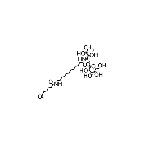 CC[C@@H](O)[C@@H](O)[C@H](CO[C@H]1OC(CO)[C@H](O)[C@H](O)C1O)NC(=O)CCCCCCCCCCCNC(=O)CCCCC1CO1